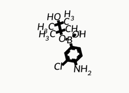 CC(C)(O)C(C)(C)OB(O)c1ccc(N)c(Cl)c1